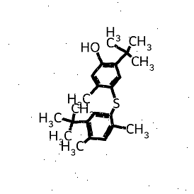 Cc1cc(C)c(C(C)(C)C)cc1Sc1cc(C(C)(C)C)c(O)cc1C